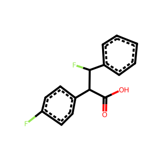 O=C(O)C(c1ccc(F)cc1)C(F)c1ccccc1